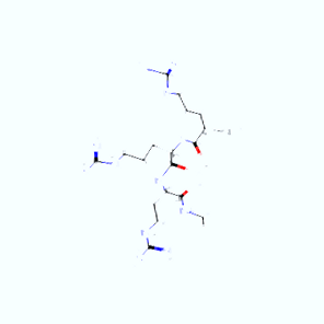 CC(=O)N[C@H](CCCNC(=N)N)C(=O)N[C@H](CCCNC(=N)N)C(=O)N[C@H](CCNC(=N)N)C(=O)NCC=O